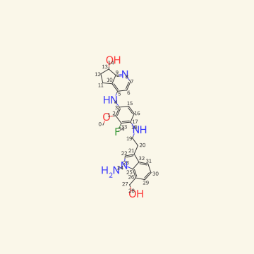 COc1c(Nc2ccnc3c2CCC3O)ccc(NCCc2cn(N)c3c(CO)cccc23)c1F